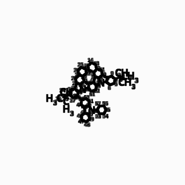 CC(C)(C)c1ccc2c(c1)c1cc3ccccc3c3c4c5c6c7ccccc7cc7c8cc(C(C)(C)C)cc(-c9ccc%10c(c9)c9ccccc9n%10-c9ccccc9)c8n(c5ccc4n2c13)c76